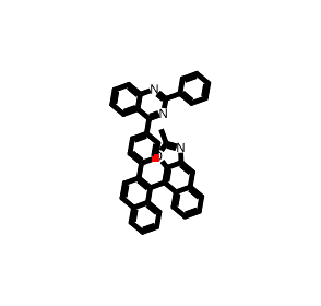 Cc1nc2cc3ccccc3c(-c3c(-c4ccc(-c5nc(-c6ccccc6)nc6ccccc56)cc4)ccc4ccccc34)c2o1